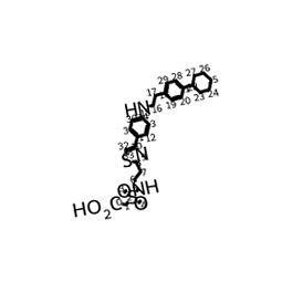 O=C(O)CS(=O)(=O)NCCc1nc(-c2ccc(NCCc3ccc(C4CCCCC4)cc3)cc2)cs1